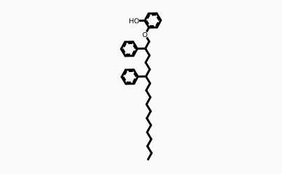 CCCCCCCCCCCCC(CCCC(COc1ccccc1O)c1ccccc1)c1ccccc1